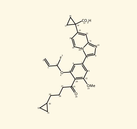 C=CC(F)Oc1cc(-c2cnc3cc(C4(C(=O)O)CC4)ccn23)cc(OC)c1C(=O)CCCC1CC1